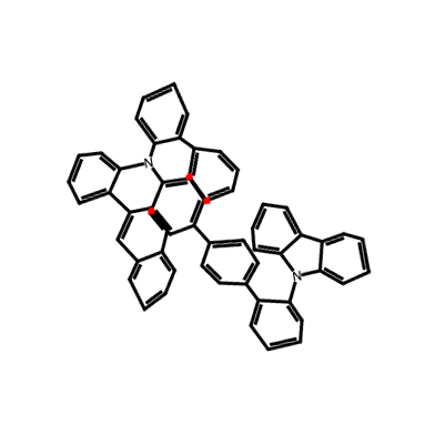 c1ccc(-c2ccccc2N(c2ccc(-c3ccc(-c4ccccc4-n4c5ccccc5c5ccccc54)cc3)cc2)c2ccccc2-c2ccc3ccccc3c2)cc1